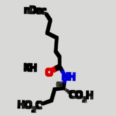 CCCCCCCCCCCCCCCC(=O)N[C@@H](CCC(=O)O)C(=O)O.[KH]